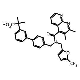 Cc1nc2ncccc2c(C(=O)N(Cc2ccc(-c3cccc(C(C)(C)C(=O)O)c3)cc2)Cc2ccc(C(F)(F)F)o2)c1C